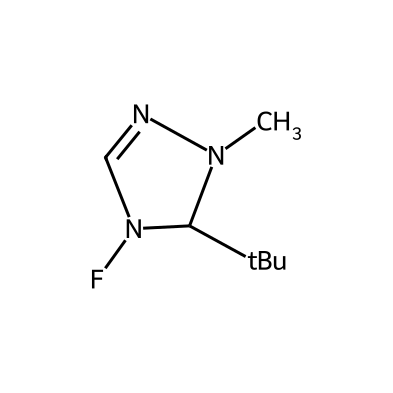 CN1N=CN(F)C1C(C)(C)C